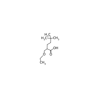 CCOCC(CCC(C)(C)C)C(=O)O